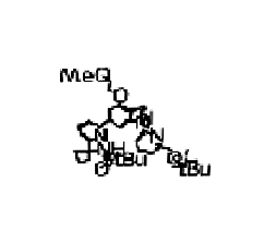 COCCOc1cc(-c2cccc(C3(N[S@+]([O-])C(C)(C)C)CCC3)n2)cc2c1cnn2-c1cccc(CO[Si](C)(C)C(C)(C)C)n1